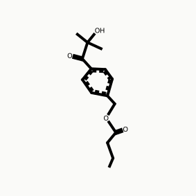 CCCC(=O)OCc1ccc(C(=O)C(C)(C)O)cc1